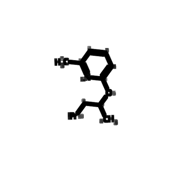 Cc1cccc(OC(C)CC(C)C)n1